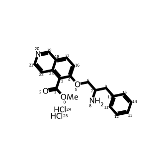 COC(=O)c1c(OCC(N)Cc2ccccc2)ccc2cnccc12.Cl.Cl